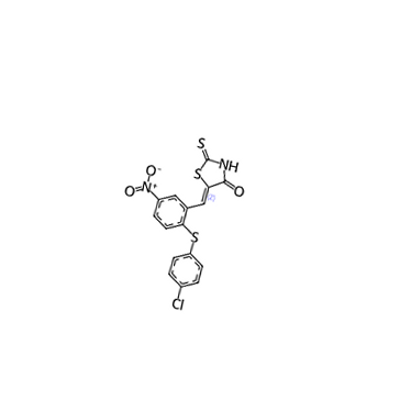 O=C1NC(=S)S/C1=C\c1cc([N+](=O)[O-])ccc1Sc1ccc(Cl)cc1